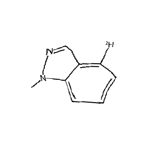 [2H]c1cccc2c1cnn2C